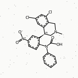 CN1Cc2c(Cl)cc(Cl)cc2[C@H](c2cc([N+](=O)[O-])ccc2N(C(=O)O)c2ccccc2)C1